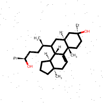 CC[C@]1(O)CC[C@]2(C)C3=CC[C@@]4(C)CCC[C@H]4[C@@H]3C([C@H](C)CC[C@@H](O)C(C)C)C[C@H]2C1